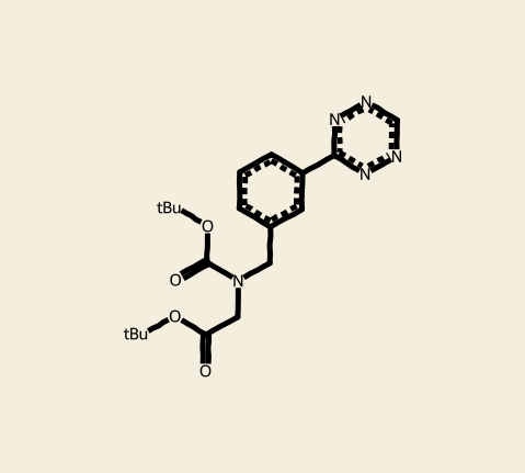 CC(C)(C)OC(=O)CN(Cc1cccc(-c2nncnn2)c1)C(=O)OC(C)(C)C